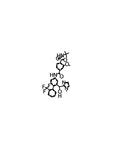 COc1cc(C(=O)Nc2ccc(-c3ccccc3C(F)(F)F)c(C(O)c3nccn3C)c2)ccc1S(=O)(=O)NC(C)(C)C